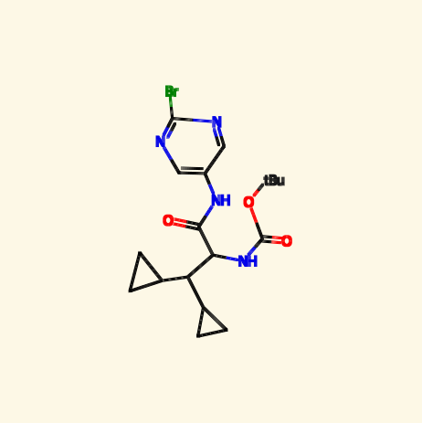 CC(C)(C)OC(=O)NC(C(=O)Nc1cnc(Br)nc1)C(C1CC1)C1CC1